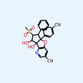 CS(=O)(=O)C1C(O)C2(O)c3ncc(C#N)cc3OC2(c2ccc(C#N)cc2)C1c1ccccc1